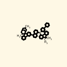 CC1CC2CC(C)C3(c4ccccc4-c4cc(-c5cccc6c(N(c7ccc(-c8ccccc8)cc7)c7cccc8c7-c7ccccc7C8(C)C)cccc56)ccc43)C(C1)C2